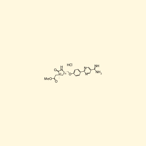 COC(=O)C[C@]1(C)C[C@@H](COc2ccc(-c3ncc(C(=N)N)cn3)cc2)NC1=O.Cl